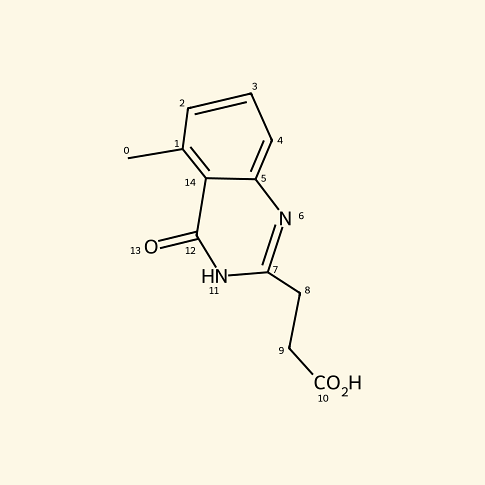 Cc1cccc2nc(CCC(=O)O)[nH]c(=O)c12